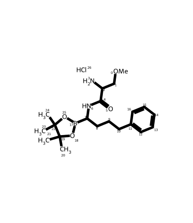 COCC(N)C(=O)NC(CCCc1ccccc1)B1OC(C)(C)C(C)(C)O1.Cl